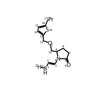 [2H]B/C=C/N1C(=O)CCC1COCc1ccc(C(C)C)s1